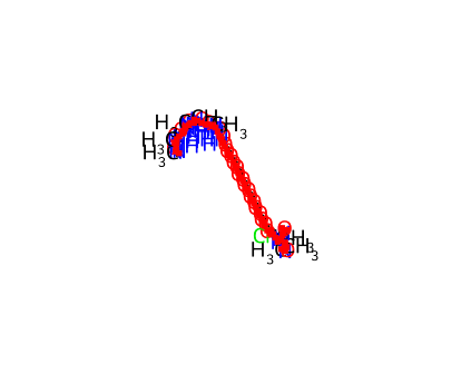 Cc1noc(C)c1-c1ccc2c(c1)nc(CCc1ccc(OCCOCCOCCOCCOCCOCCOCCOCCOCCOCCOCCOCCOCCOCCOCCOCCNC(=O)CCNC(=O)c3nc(NC(=O)CCNC(=O)c4cc(NC(=O)c5nc(NC(=O)CCNC(=O)c6cc(NC(=O)c7nccn7C)cn6C)cn5C)cn4C)cn3C)c(Cl)c1)n2C[C@H](C)N1CCOCC1